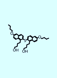 CCCCOc1ccc2c(CCCCO)c(Sc3ccc4cc(OCCCC)ccc4c3CCCCO)ccc2c1